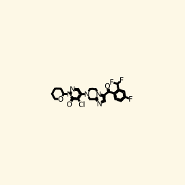 O=C(c1ccc(F)cc1C(F)F)c1cnc2n1CCN(c1cnn(C3CCCCO3)c(=O)c1Cl)C2